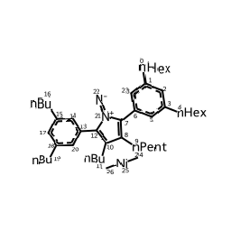 CCCCCCc1cc(CCCCCC)cc(C2=C(CCCCC)C(CCCC)=C(c3cc(CCCC)cc(CCCC)c3)[N+]2=[N-])c1.[CH3][Ni][CH3]